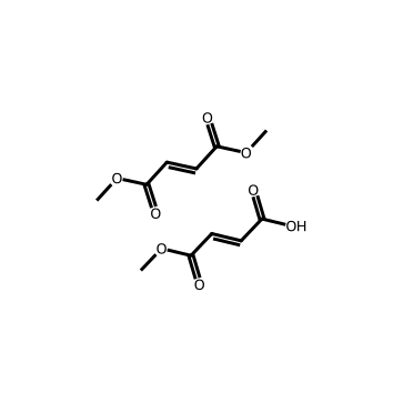 COC(=O)C=CC(=O)O.COC(=O)C=CC(=O)OC